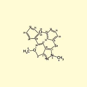 COCc1nn(C)c(Sc2cccc(Cl)c2)c1C=Cc1ccccc1